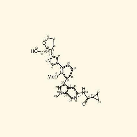 COc1c(-c2cnn([C@@H]3CCCO[C@H]3CO)c2)cccc1-c1nn(C)c2cnc(NC(=O)C3CC3)cc12